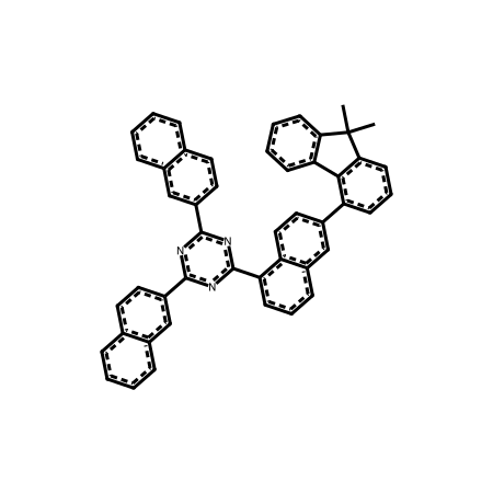 CC1(C)c2ccccc2-c2c(-c3ccc4c(-c5nc(-c6ccc7ccccc7c6)nc(-c6ccc7ccccc7c6)n5)cccc4c3)cccc21